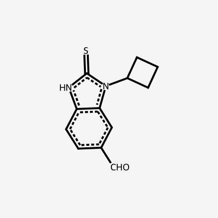 O=Cc1ccc2[nH]c(=S)n(C3CCC3)c2c1